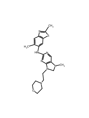 Cc1nc2cc(C)c(Nc3ncc4c(n3)N(CCN3CCOCC3)CN4C)cc2s1